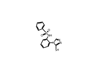 O=S(=O)(Nc1ccccc1-n1cnnc1S)c1ccccc1